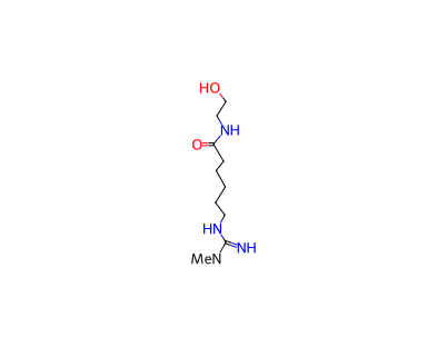 CNC(=N)NCCCCCC(=O)NCCO